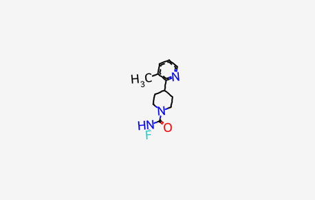 Cc1cccnc1C1CCN(C(=O)NF)CC1